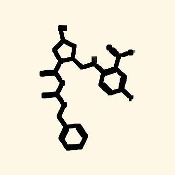 O=C(OCc1ccccc1)OC(=O)N1CC(O)C[C@H]1CNc1ccc(F)cc1[N+](=O)[O-]